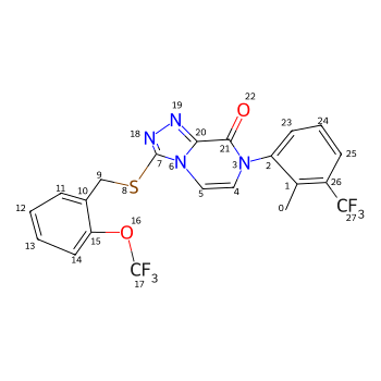 Cc1c(-n2ccn3c(SCc4ccccc4OC(F)(F)F)nnc3c2=O)cccc1C(F)(F)F